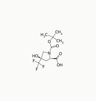 CC(C)(C)OC(=O)N1C[C@@](O)(C(F)(F)F)C[C@@H]1C(=O)O